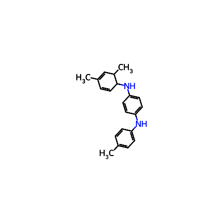 CC1=CC(C)C(Nc2ccc(Nc3ccc(C)cc3)cc2)C=C1